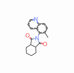 Cc1ccc2ncccc2c1N1C(=O)C2CCCCC2C1=O